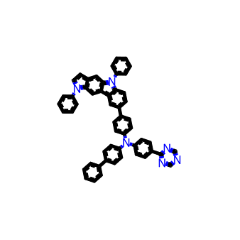 c1ccc(-c2ccc(N(c3ccc(-c4ccc5c(c4)c4cc6c(ccn6-c6ccccc6)cc4n5-c4ccccc4)cc3)c3ccc(-c4ncncn4)cc3)cc2)cc1